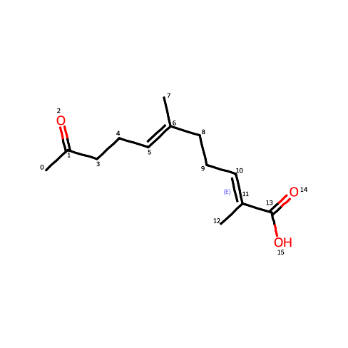 CC(=O)CCC=C(C)CC/C=C(\C)C(=O)O